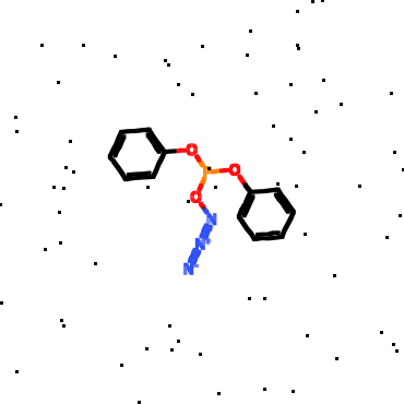 [N-]=[N+]=NOP(Oc1ccccc1)Oc1ccccc1